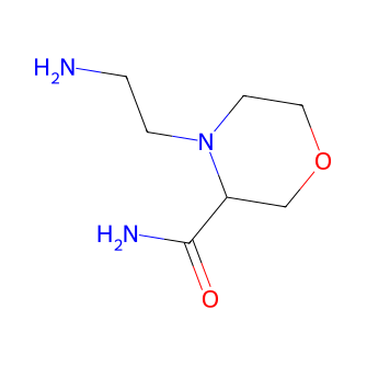 NCCN1CCOCC1C(N)=O